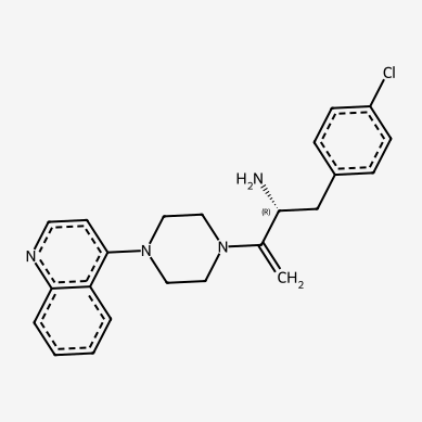 C=C([C@H](N)Cc1ccc(Cl)cc1)N1CCN(c2ccnc3ccccc23)CC1